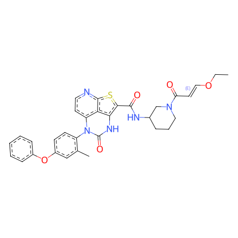 CCO/C=C/C(=O)N1CCCC(NC(=O)c2sc3nccc4c3c2NC(=O)N4c2ccc(Oc3ccccc3)cc2C)C1